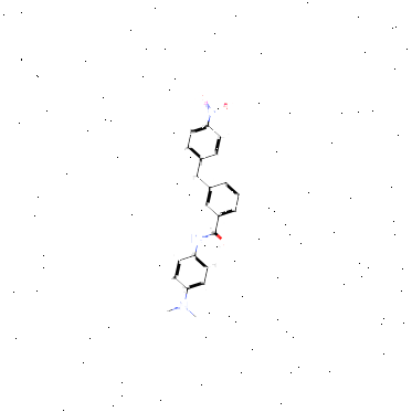 CN(C)c1ccc(NC(=O)c2cccc(Cc3ccc([N+](=O)[O-])cc3)c2)cc1